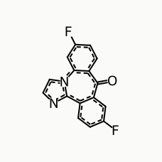 O=c1c2cc(F)ccc2c2nccn2c2cc(F)ccc12